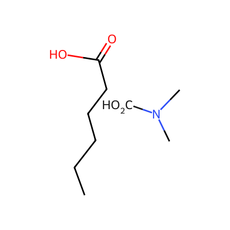 CCCCCC(=O)O.CN(C)C(=O)O